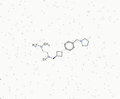 CCN(CCN(C)C)C[C@H]1C[C@H](c2ccc(CN3CCCC3)cc2)C1